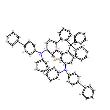 c1ccc(-c2ccc(N(c3ccccc3)c3ccc4c5c3sc3c(N(c6ccccc6)c6ccc(-c7ccccc7)cc6)ccc(c35)C(c3ccccc3)(c3ccccc3)c3ccccc3-4)cc2)cc1